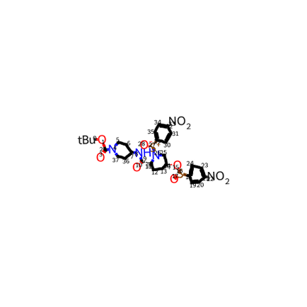 CC(C)(C)OC(=O)N1CCC(NC(=O)[C@H]2CC[C@@H](OS(=O)c3ccc([N+](=O)[O-])cc3)CN2[S+]([O-])c2ccc([N+](=O)[O-])cc2)CC1